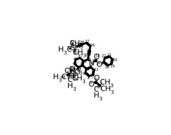 CC(C)(C)C(=O)Oc1ccc2c(c1)N(C(=O)Oc1ccccc1)C(C#C/C=C\C#C[Si](C)(C)C)C1=C2C(O[Si](C)(C)C(C)(C)C)CCC1